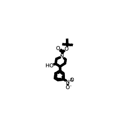 CC(C)(C)OC(=O)N1CCC(c2cccc([N+](=O)[O-])c2)C(O)C1